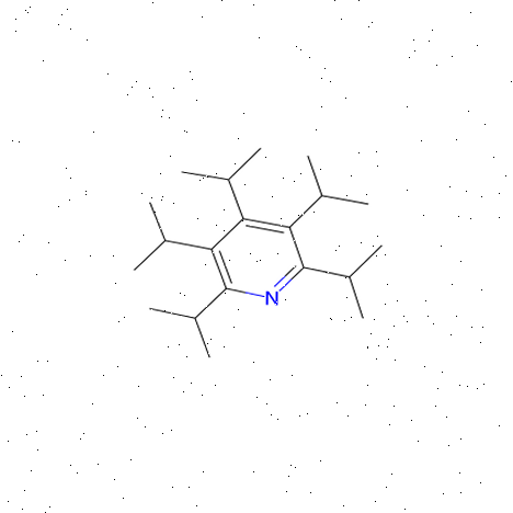 CC(C)c1nc(C(C)C)c(C(C)C)c(C(C)C)c1C(C)C